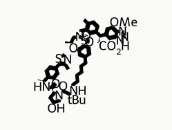 COc1cc([C@H](CC(=O)O)c2ccc(C)c(CN3C[C@H](C)Oc4cc(CCCCCCN[C@H](C(=O)N5C[C@@H](O)C[C@@H]5C(=O)N[C@H](C)c5ccc(-c6scnc6C)cc5)C(C)(C)C)ccc4S3(=O)=O)c2)cc2nnn(C)c12